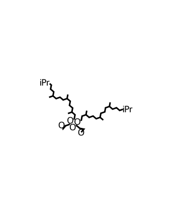 CC(C)CCCC(C)CCCC(C)CCCC(C)CCOC(OC(OCCC(C)CCCC(C)CCCC(C)CCCC(C)C)C1CO1)C1CO1